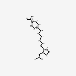 CC(C)CC1CCCN1CCCCCCN1CCN(C(C)C)CC1